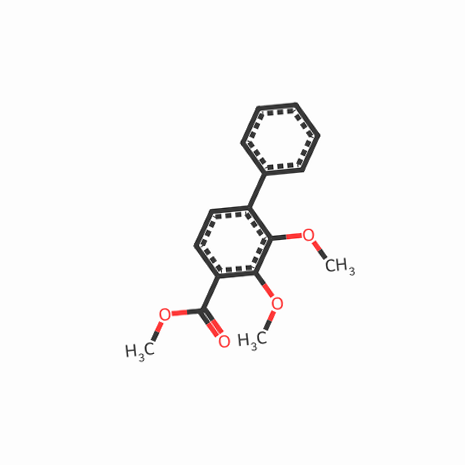 COC(=O)c1ccc(-c2ccccc2)c(OC)c1OC